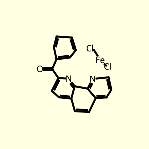 O=C(c1ccccc1)c1ccc2ccc3cccnc3c2n1.[Cl][Fe][Cl]